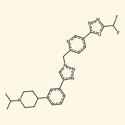 CC(C)N1CCC(c2cccc(-c3cn(Cc4ccc(-c5nnc(C(F)F)o5)cn4)nn3)c2)CC1